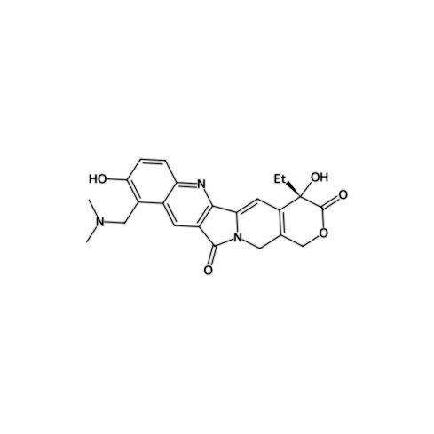 CC[C@@]1(O)C(=O)OCC2=C1C=C1c3nc4ccc(O)c(CN(C)C)c4cc3C(=O)N1C2